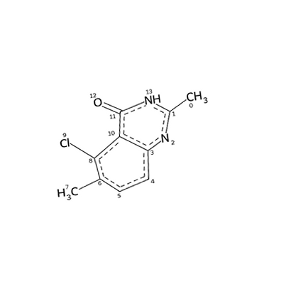 Cc1nc2ccc(C)c(Cl)c2c(=O)[nH]1